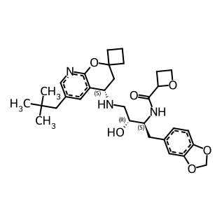 CC(C)(C)Cc1cnc2c(c1)[C@@H](NC[C@@H](O)[C@H](Cc1ccc3c(c1)OCO3)NC(=O)C1CCO1)CC1(CCC1)O2